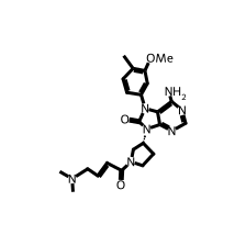 COc1cc(-n2c(=O)n([C@@H]3CCN(C(=O)C=CCN(C)C)C3)c3ncnc(N)c32)ccc1C